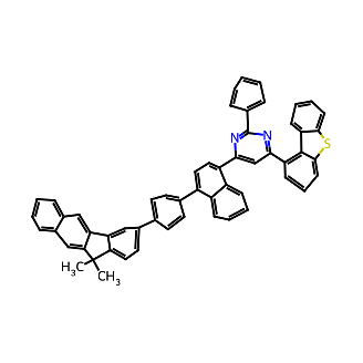 CC1(C)c2ccc(-c3ccc(-c4ccc(-c5cc(-c6cccc7sc8ccccc8c67)nc(-c6ccccc6)n5)c5ccccc45)cc3)cc2-c2cc3ccccc3cc21